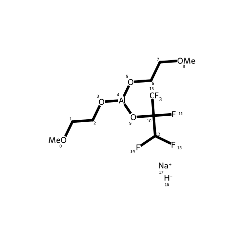 COCC[O][Al]([O]CCOC)[O]C(F)(C(F)F)C(F)(F)F.[H-].[Na+]